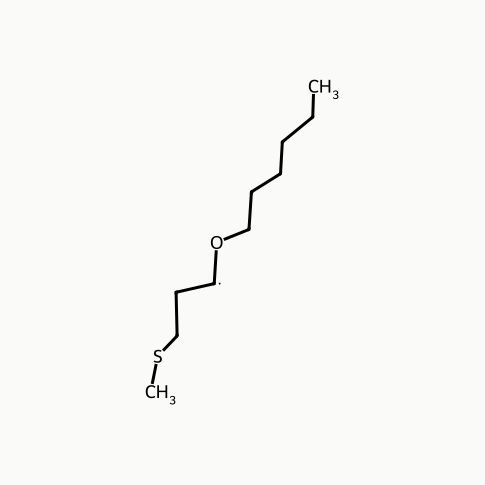 CCCCCCO[CH]CCSC